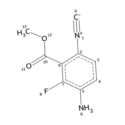 [C-]#[N+]c1ccc(N)c(F)c1C(=O)OC